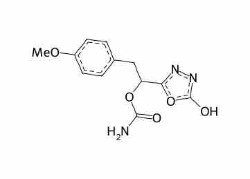 COc1ccc(CC(OC(N)=O)c2nnc(O)o2)cc1